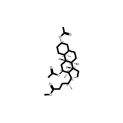 COC(=O)CC[C@@H](C)[C@H]1CC[C@H]2[C@@H]3CCC4C[C@@H](OC(C)=O)CC[C@]4(C)[C@H]3C[C@H](OC(C)=O)[C@]12C